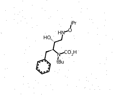 CC(C)ONC[C@@H](O)[C@H](Cc1ccccc1)N(C(=O)O)C(C)(C)C